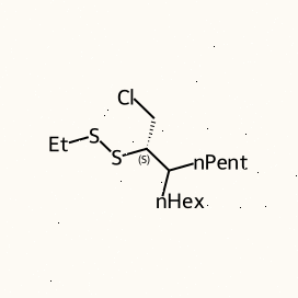 CCCCCCC(CCCCC)[C@@H](CCl)SSCC